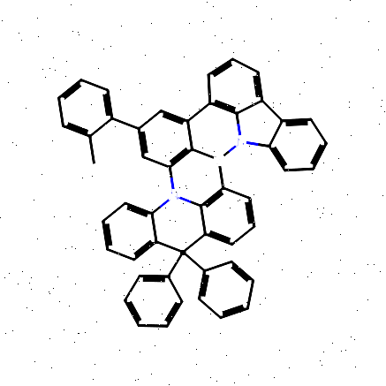 Cc1ccccc1-c1cc2c3c(c1)N1c4ccccc4C(c4ccccc4)(c4ccccc4)c4cccc(c41)B3n1c3ccccc3c3cccc-2c31